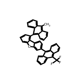 Cc1c2ccccc2c(-c2cccc3oc4cc(-c5c6ccccc6c(C(F)(F)F)c6ccccc56)ccc4c23)c2ccccc12